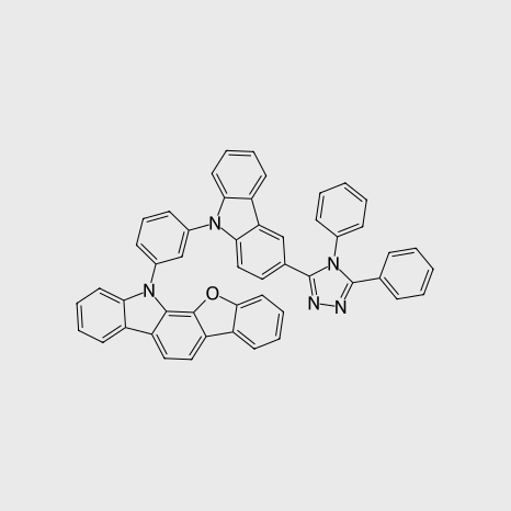 c1ccc(-c2nnc(-c3ccc4c(c3)c3ccccc3n4-c3cccc(-n4c5ccccc5c5ccc6c7ccccc7oc6c54)c3)n2-c2ccccc2)cc1